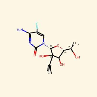 C#C[C@@]1(O)C(O)[C@@H]([C@@H](C)O)O[C@H]1n1cc(F)c(N)nc1=O